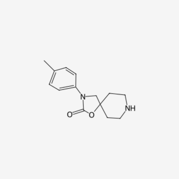 Cc1ccc(N2CC3(CCNCC3)OC2=O)cc1